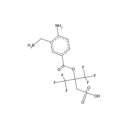 BCc1cc(C(=O)OC(CS(=O)(=O)O)(C(F)(F)F)C(F)(F)F)ccc1N